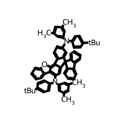 Cc1cc(C)cc(N(c2ccc(C(C)(C)C)cc2)c2ccc3c(c2)C2(c4ccccc4-c4ccccc42)c2cc(N(c4ccc(C(C)(C)C)cc4)c4cc(C)cc(C)c4)c4c(oc5ccccc54)c2-3)c1